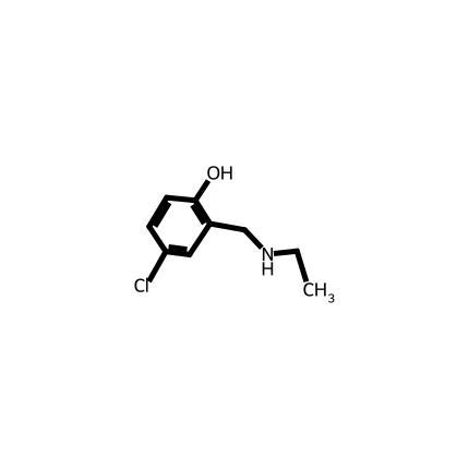 CCNCc1cc(Cl)ccc1O